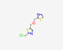 ClCc1ncc(COCc2nccs2)s1